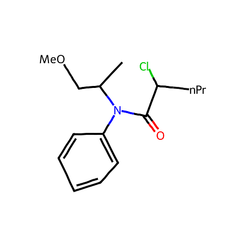 CCCC(Cl)C(=O)N(c1ccccc1)C(C)COC